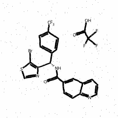 O=C(N[C@@H](c1ccc(C(F)(F)F)cc1)c1ncsc1Br)c1ccc2ncccc2c1.O=C(O)C(F)(F)F